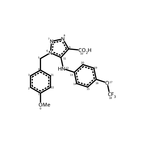 COc1ccc(Cn2nnc(C(=O)O)c2Nc2ccc(OC(F)(F)F)cc2)cc1